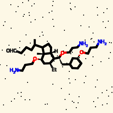 CC[C@H]1C[C@H](OCCCN)[C@]2(C)C(C(C)CCCC=O)CC[C@H]2C1[C@@H](CC1CCC[C@@H](OCCCN)C1)OCCCN